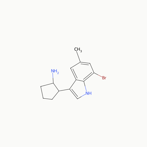 Cc1cc(Br)c2[nH]cc(C3CCCC3N)c2c1